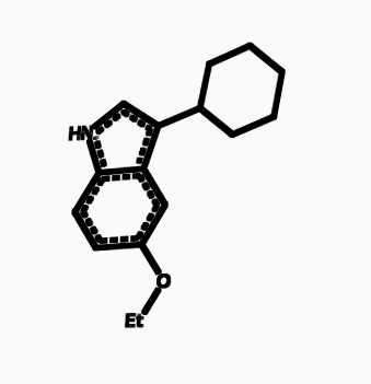 CCOc1ccc2[nH]cc(C3CCCCC3)c2c1